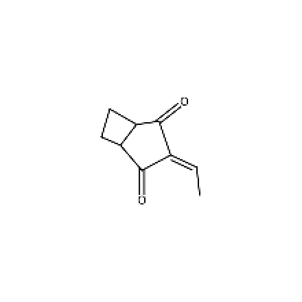 CC=C1C(=O)C2CCC2C1=O